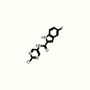 O=C(Nc1cnc(Cl)nc1)c1cc2cc(F)ccc2[nH]1